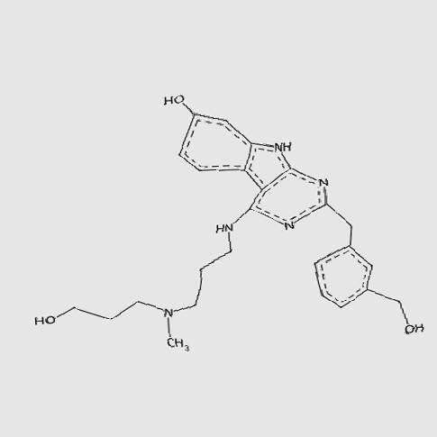 CN(CCCO)CCCNc1nc(Cc2cccc(CO)c2)nc2[nH]c3cc(O)ccc3c12